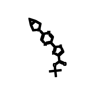 CC(C)(C)OC(=O)c1csc(-c2cnc(N3CC4CC4C3)cn2)n1